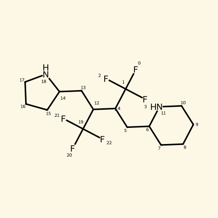 FC(F)(F)[C](CC1CCCCN1)C(CC1CCCN1)C(F)(F)F